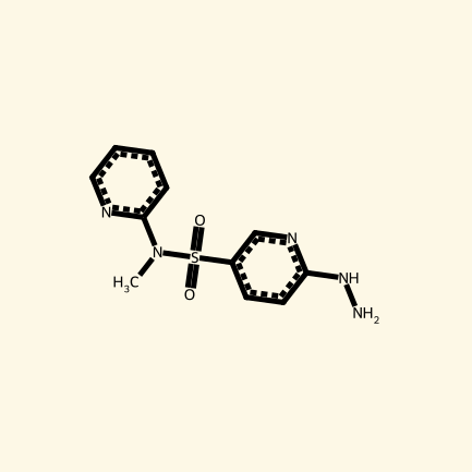 CN(c1ccccn1)S(=O)(=O)c1ccc(NN)nc1